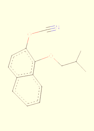 CC(C)COc1c(OC#N)ccc2ccccc12